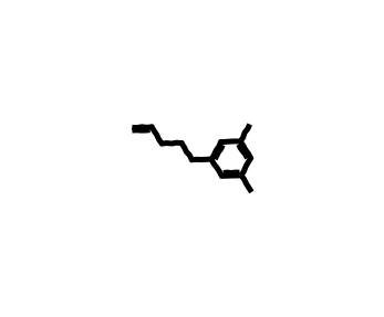 C=CCCCc1cc(C)cc(C)c1